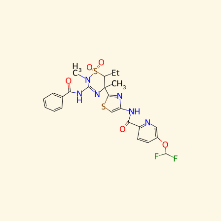 CCC1C(C)(c2nc(NC(=O)c3ccc(OC(F)F)cn3)cs2)N=C(NC(=O)c2ccccc2)N(C)S1(=O)=O